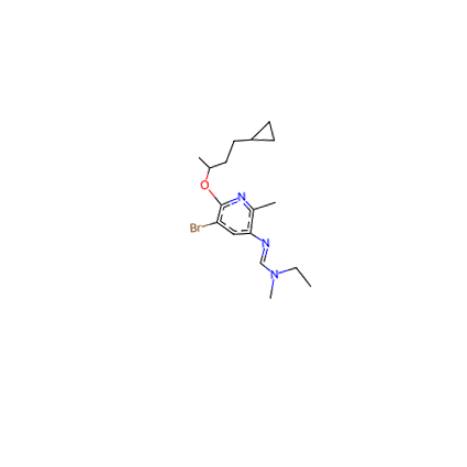 CCN(C)/C=N/c1cc(Br)c(OC(C)CCC2CC2)nc1C